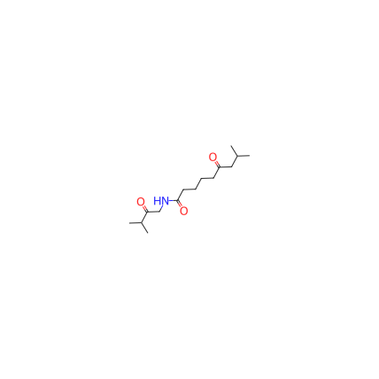 CC(C)CC(=O)CCCCC(=O)NCC(=O)C(C)C